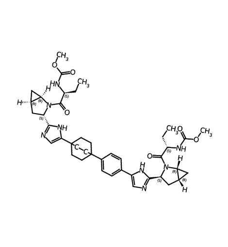 CC[C@H](NC(=O)OC)C(=O)N1[C@@H]2C[C@@H]2C[C@H]1c1ncc(-c2ccc(C34CCC(c5cnc([C@@H]6C[C@H]7C[C@H]7N6C(=O)[C@H](CC)NC(=O)OC)[nH]5)(CC3)CC4)cc2)[nH]1